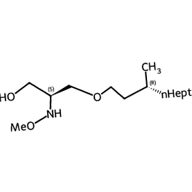 CCCCCCC[C@@H](C)CCOC[C@H](CO)NOC